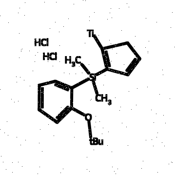 CC(C)(C)Oc1ccccc1[Si](C)(C)C1=[C]([Ti])CC=C1.Cl.Cl